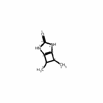 CC1c2[nH]c(=O)[nH]c2C1C